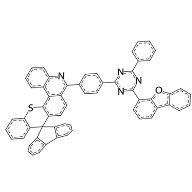 c1ccc(-c2nc(-c3ccc(-c4nc5ccccc5c5c6c(ccc45)C4(c5ccccc5S6)c5ccccc5-c5ccccc54)cc3)nc(-c3cccc4c3oc3ccccc34)n2)cc1